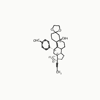 CC#C[C@]1(O)CCC2C3CC[C@@]4(O)CC5(CCC4=C3[C@@H](c3ccc(C=O)cc3)C[C@@]21C)OCCO5